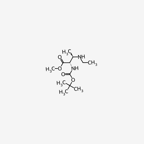 CCN[C@H](C)[C@H](NC(=O)OC(C)(C)C)C(=O)OC